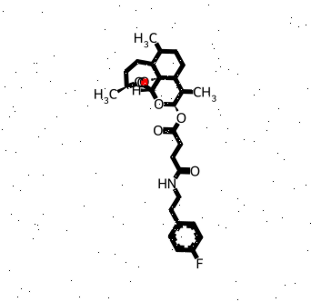 CC1CCC2C(C)[C@H](OC(=O)CCC(=O)NCCc3ccc(F)cc3)O[C@@H]3O[C@@]4(C)CCC1[C@@]23OO4